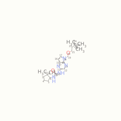 CC1(C)CCCC1NC(=O)Nc1cnc2c(ccn2COCC[Si](C)(C)C)n1